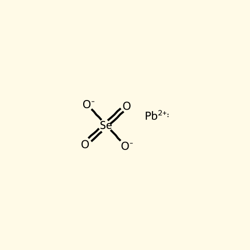 O=[Se](=O)([O-])[O-].[Pb+2]